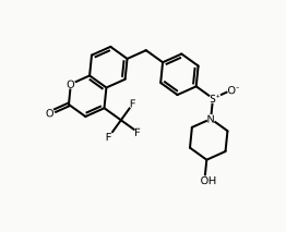 O=c1cc(C(F)(F)F)c2cc(Cc3ccc([S+]([O-])N4CCC(O)CC4)cc3)ccc2o1